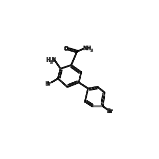 NC(=O)c1cc(-c2ccc(Br)cc2)cc(Br)c1N